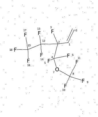 [CH]=CC(F)(C(F)(F)OC(F)(F)F)C(F)(F)C(F)(F)F